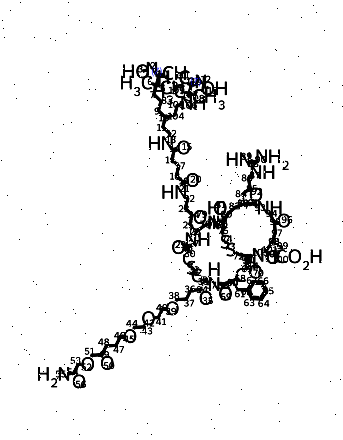 C/C(=N/O)C(C)(C)CCCC(CCNC(=O)CCCC(=O)NCCCC[C@@H]1NC(=O)CSC[C@@H](C(=O)CCCOCCOCCOCCCC(=O)COCC(N)=O)NC(=O)[C@H](Cc2ccccc2)CC(=O)[C@@H]2CSSC[C@H](NC1=O)C(=O)C[C@@H](CCCNC(=N)N)C(=O)NCC(=O)C[C@@H](CC(=O)O)C(=O)N2)CCNC(C)(C)/C(C)=N\O